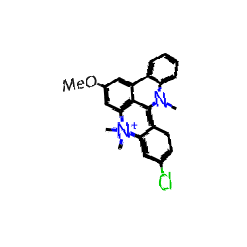 COc1cc2c3c(c1)[N+](C)(C)C1=CC(Cl)=CCC1=C3N(C)c1ccccc1-2